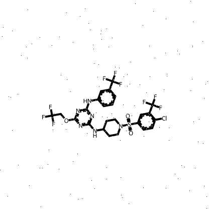 O=S(=O)(c1ccc(Cl)c(C(F)(F)F)c1)N1CCC(Nc2nc(Nc3cccc(C(F)(F)F)c3)nc(OCC(F)(F)F)n2)CC1